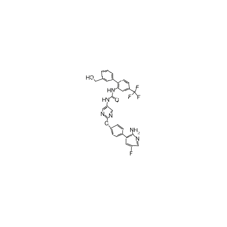 Nc1ncc(F)cc1-c1ccc(Oc2ncc(NC(=O)Nc3cc(C(F)(F)F)ccc3-c3cccc(CO)c3)cn2)cc1